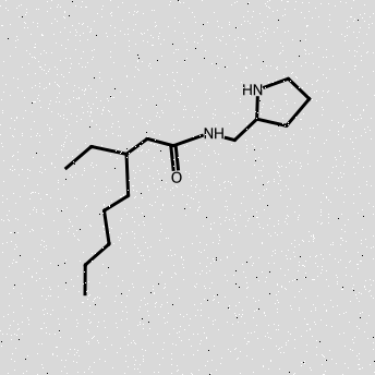 CCCCCC(CC)CC(=O)NCC1CCCN1